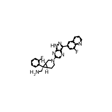 NC[C@]1(c2ccccc2F)[C@@H]2CCN(c3cnc4c(-c5cc(F)c6ncccc6c5)n[nH]c4n3)C[C@@H]21